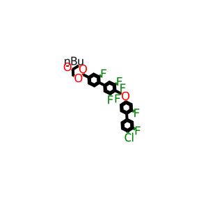 CCCCOC1COC(c2ccc(-c3cc(F)c(C(F)(F)Oc4ccc(-c5ccc(Cl)c(F)c5)c(F)c4)c(F)c3)c(F)c2)OC1